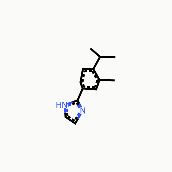 Cc1cc(-c2ncc[nH]2)ccc1C(C)C